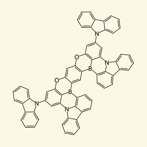 c1ccc2c(c1)c1ccccc1n2-c1cc2c3c(c1)-n1c4ccccc4c4cccc(c41)B3c1cc3c(cc1O2)Oc1cc(-n2c4ccccc4c4ccccc42)cc2c1B3c1cccc3c4ccccc4n-2c13